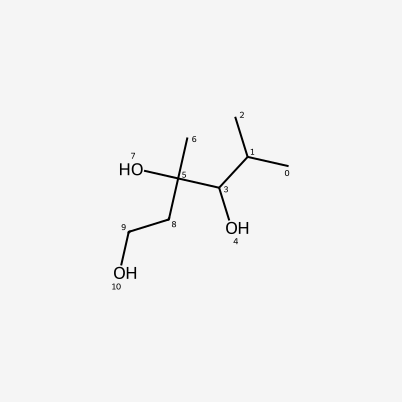 CC(C)C(O)C(C)(O)CCO